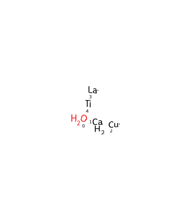 O.[CaH2].[Cu].[La].[Ti]